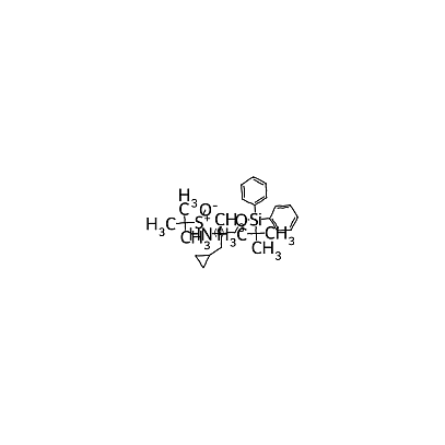 CC(C)(C)[S+]([O-])N[C@](C)(CO[Si](c1ccccc1)(c1ccccc1)C(C)(C)C)CC1CC1